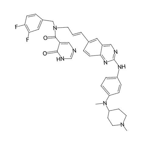 CN1CCC(N(C)c2ccc(Nc3ncc4cc(/C=C/CN(Cc5ccc(F)c(F)c5)C(=O)c5cnc[nH]c5=O)ccc4n3)cc2)CC1